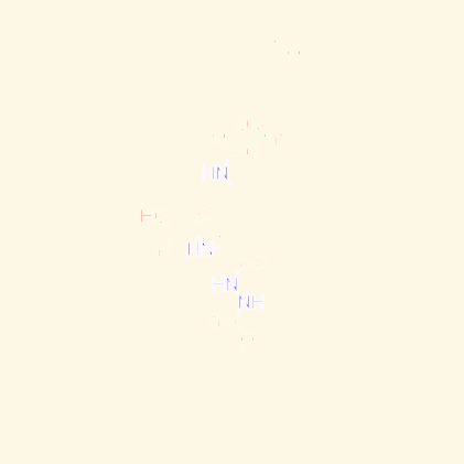 Cc1c(C)c(S(=O)(=O)OC(=O)NCCC[C@@H](NC(=O)C(=O)O)C(=O)NNC(=O)OCC2c3ccccc3-c3ccccc32)c(C)c2c1OC(C)(C)C2